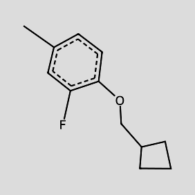 Cc1ccc(OCC2CCC2)c(F)c1